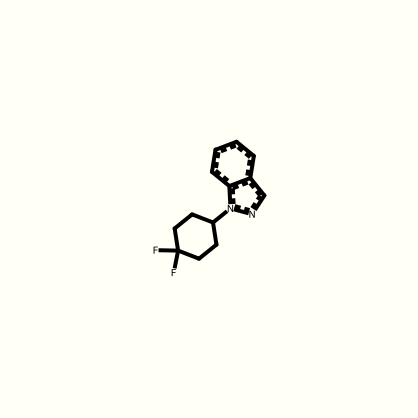 FC1(F)CCC(n2ncc3ccccc32)CC1